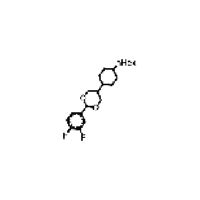 CCCCCCC1CCC(C2COC(c3ccc(F)c(F)c3)OC2)CC1